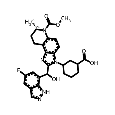 COC(=O)N1c2ccc3c(nc(C(O)c4cc(F)cc5cn[nH]c45)n3C3CCCC(C(=O)O)C3)c2CC[C@@H]1C